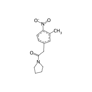 Cc1cc(CC(=O)N2CCCC2)ccc1[N+](=O)[O-]